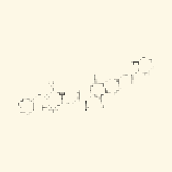 Cn1cc(C(=O)NCC(NC(=O)OCc2ccccc2)C(=O)O)c(=O)c2ccc(CNC3N=CCCN3)cc21